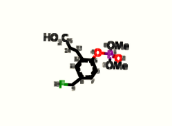 COP(=O)(OC)Oc1ccc(CF)cc1CCC(=O)O